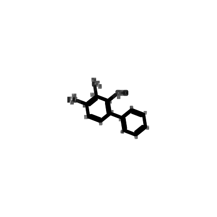 O=Cc1c(-c2ccccc2)ccc(C(F)(F)F)c1C(F)(F)F